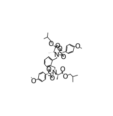 COc1ccc(S(=O)(=O)N(Cc2ccccc2CN([C@H](C)C(=O)OCC(C)C)S(=O)(=O)c2ccc(OC)cc2)[C@H](C)C(=O)OCC(C)C)cc1